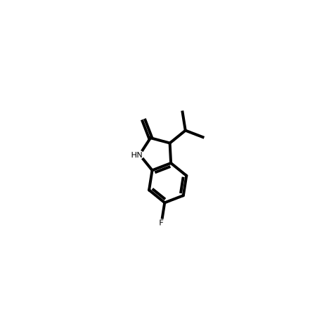 C=C1Nc2cc(F)ccc2C1C(C)C